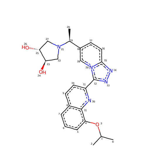 CC(C)Oc1cccc2ccc(-c3nnc4ccc([C@H](C)N5C[C@@H](O)[C@H](O)C5)cn34)nc12